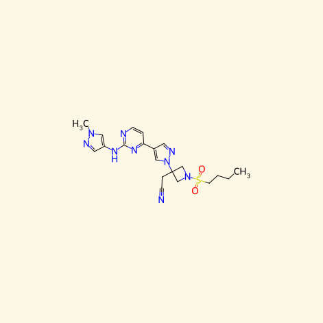 CCCCS(=O)(=O)N1CC(CC#N)(n2cc(-c3ccnc(Nc4cnn(C)c4)n3)cn2)C1